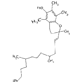 Cc1c(C)c2c(c(C)c1O)CCC(C)(C=CCC(C)CCCC(C)CCCC(C)C)O2